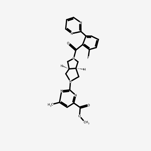 COC(=O)c1cc(C)nc(N2C[C@H]3CN(C(=O)c4c(F)cccc4-c4ncccn4)C[C@H]3C2)n1